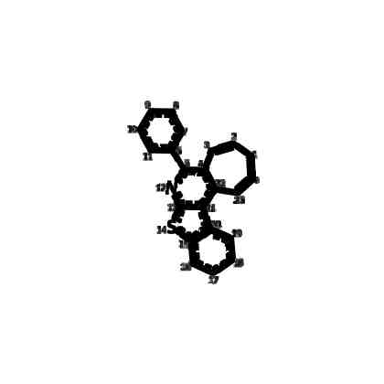 C1=CC=Cc2c(-c3ccccc3)nc3sc4ccccc4c3c2C=1